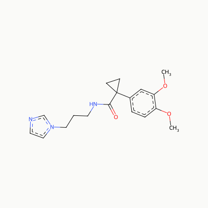 COc1ccc(C2(C(=O)NCCCn3ccnc3)CC2)cc1OC